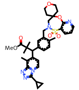 COC(=O)C(C)(C)C(c1ccc(C)c(CN2CC3(CCOCC3)Oc3ncccc3S2(=O)=O)c1)c1ccn2c(C3CC3)nnc2c1C